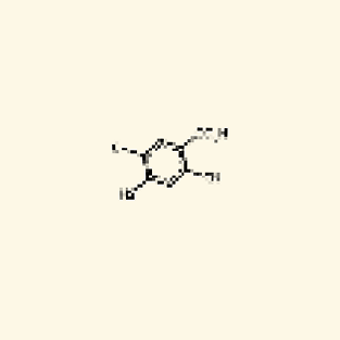 N#Cc1cc(S)c(Cl)cc1C(=O)O